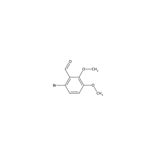 COc1ccc(Br)c(C=O)c1OC